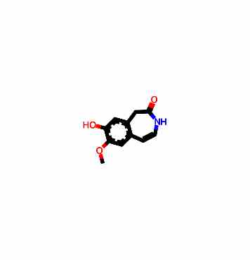 COc1cc2c(cc1O)CC(=O)NC=C2